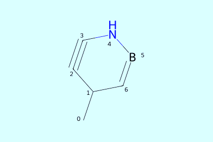 CC1C#CNB=C1